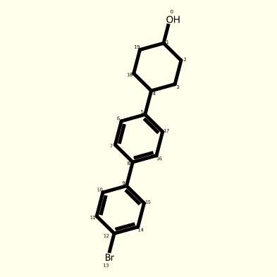 OC1CCC(c2ccc(-c3ccc(Br)cc3)cc2)CC1